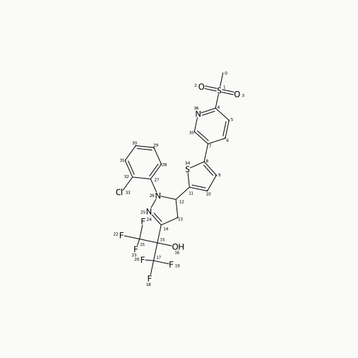 CS(=O)(=O)c1ccc(-c2ccc(C3CC(C(O)(C(F)(F)F)C(F)(F)F)=NN3c3ccccc3Cl)s2)cn1